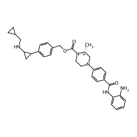 C[C@@H]1CN(c2ccc(C(=O)Nc3ccccc3N)cc2)CCN1C(=O)OCc1ccc(C2CC2NCC2CC2)cc1